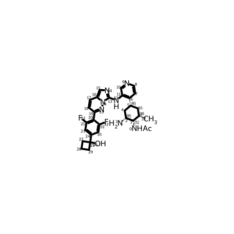 CC(=O)N[C@@H]1[C@H](N)C[C@H](c2ccncc2Nc2ncc3ccc(-c4c(F)cc(C5(O)CCC5)cc4F)nn23)C[C@@H]1C